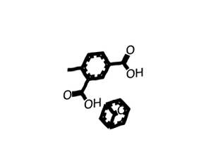 Cc1ccc(C(=O)O)cc1C(=O)O.O=C1c2cccc1c2